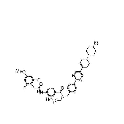 CC[C@H]1CC[C@H](C2CC=C(c3cnc(-c4ccc(CN(CC(=O)O)C(=O)c5ccc(NC(=O)Cc6c(F)cc(OC)cc6F)cc5)cc4)nc3)CC2)CC1